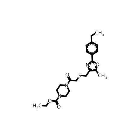 CCOC(=O)N1CCN(C(=O)CSCc2nc(-c3ccc(CC)cc3)oc2C)CC1